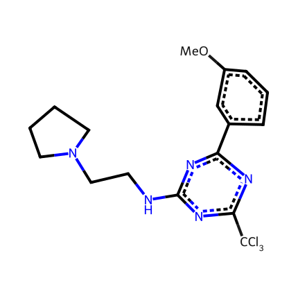 COc1cccc(-c2nc(NCCN3CCCC3)nc(C(Cl)(Cl)Cl)n2)c1